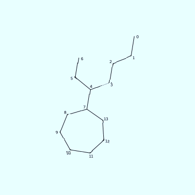 CCC[CH]C(CC)C1CCCCCC1